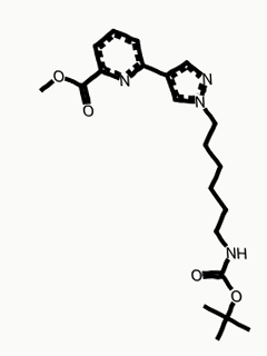 COC(=O)c1cccc(-c2cnn(CCCCCCNC(=O)OC(C)(C)C)c2)n1